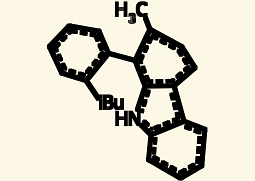 CCC(C)c1ccccc1-c1c(C)ccc2c1[nH]c1ccccc12